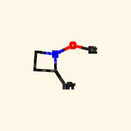 CCCC1CCN1OCC